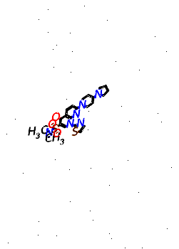 CN(C)S(=O)(=O)c1cn(-c2nccs2)c2nc(N3CCC(N4CCCC4)CC3)ccc2c1=O